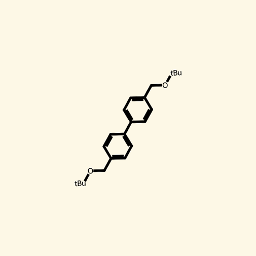 CC(C)(C)OCc1ccc(-c2ccc(COC(C)(C)C)cc2)cc1